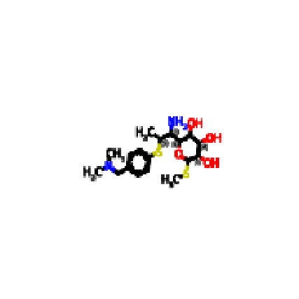 CSC1O[C@H]([C@H](N)[C@H](C)Sc2ccc(CN(C)C)cc2)C(O)[C@@H](O)[C@H]1O